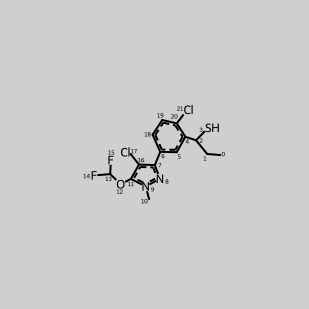 CCC(S)c1cc(-c2nn(C)c(OC(F)F)c2Cl)ccc1Cl